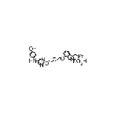 C[C](C)CC1c2cccc(OCCOCCOc3ncc(Nc4ccc(O)cc4)cn3)c2CN1C(=O)O